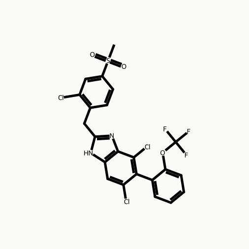 CS(=O)(=O)c1ccc(Cc2nc3c(Cl)c(-c4ccccc4OC(F)(F)F)c(Cl)cc3[nH]2)c(Cl)c1